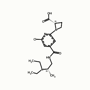 CCN(CC)[C@@H](C)CNC(=O)c1cc(Cl)nc(N2CC[C@H]2C(=O)O)c1